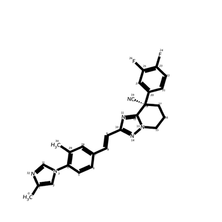 Cc1cn(-c2ccc(/C=C/c3nc4n(n3)CCC[C@]4(C#N)c3ccc(F)c(F)c3)cc2C)cn1